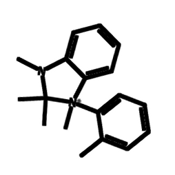 Cc1ccccc1[N+]1(C)c2ccccc2N(C)C1(C)C